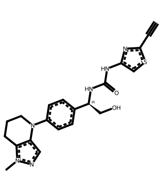 C#Cc1nc(NC(=O)N[C@@H](CO)c2ccc(N3CCCc4c3cnn4C)cc2)cs1